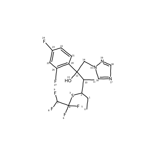 CCC(SC(F)(F)C(F)F)C(C)C(O)(Cn1cncn1)c1ccc(F)cc1F